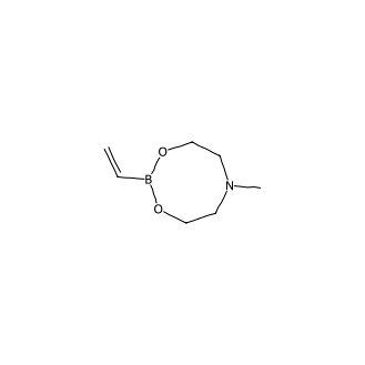 C=CB1OCCN(C)CCO1